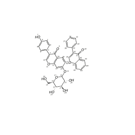 O=c1c(-c2ccc(O)cc2)coc2cc(OC3O[C@H](CO)[C@@H](O)[C@H](O)[C@H]3O)ccc12.O=c1c(-c2ccccc2)coc2ccccc12